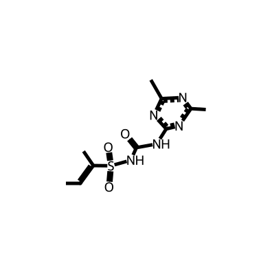 CC=C(C)S(=O)(=O)NC(=O)Nc1nc(C)nc(C)n1